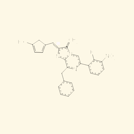 C=c1/c(=C/C2=CC=C(C(F)(F)F)C2)nc2c(Cc3ccccc3)nc(-c3cccc([N+](=O)[O-])c3F)cn12